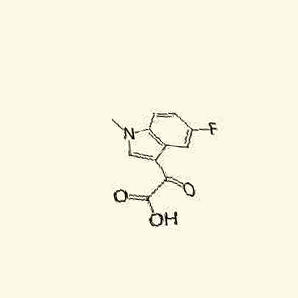 Cn1cc(C(=O)C(=O)O)c2cc(F)ccc21